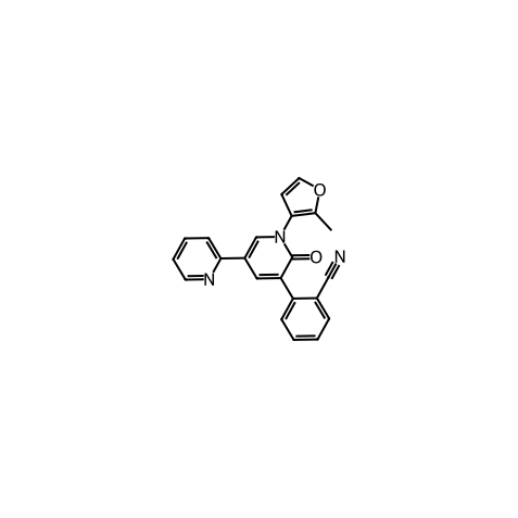 Cc1occc1-n1cc(-c2ccccn2)cc(-c2ccccc2C#N)c1=O